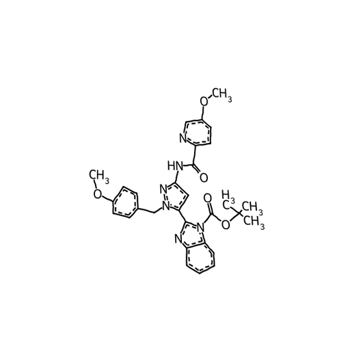 COc1ccc(Cn2nc(NC(=O)c3ccc(OC)cn3)cc2-c2nc3ccccc3n2C(=O)OC(C)(C)C)cc1